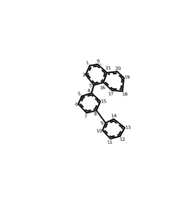 [c]1ccc(-c2cccc(-c3ccccc3)c2)c2ccccc12